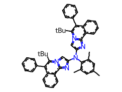 Cc1cc(C)c(N(c2cn3c(C(C)(C)C)c(-c4ccccc4)c4ccccc4c3n2)c2cn3c(C(C)(C)C)c(-c4ccccc4)c4ccccc4c3n2)c(C)c1